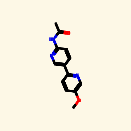 COc1ccc(-c2ccc(NC(C)=O)nc2)nc1